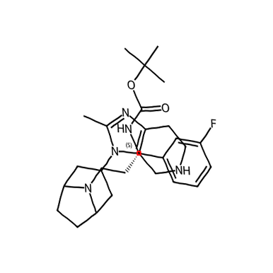 Cc1nc2c(n1C1CC3CCC(C1)N3CC[C@H](NC(=O)OC(C)(C)C)c1cccc(F)c1)CNCC2